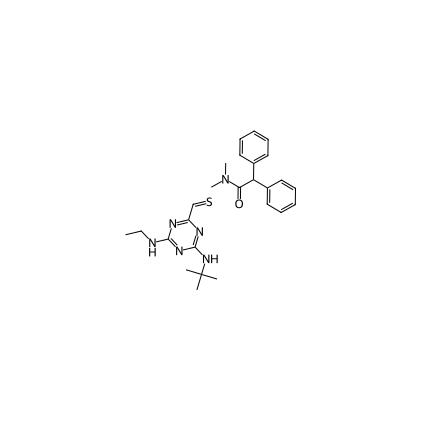 CCNc1nc(C=S)nc(NC(C)(C)C)n1.CN(C)C(=O)C(c1ccccc1)c1ccccc1